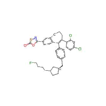 O=c1oc(-c2ccc3c(c2)CCCC(c2ccc(Cl)cc2Cl)=C3c2ccc(C[C@H]3CCC(CCCCF)C3)cc2)ns1